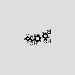 CCCC1(C(O)c2ccc([C@@H]3C[C@H](Cl)C[C@H]3O)cc2)CCC1